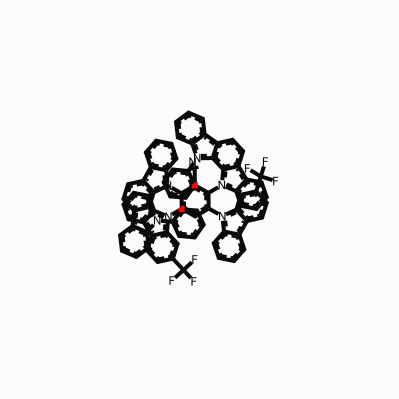 N#Cc1c(-n2c3ccccc3c3ccc4c5ccccc5n(-c5ccccc5)c4c32)c(-n2c3ccccc3c3ccc(C(F)(F)F)cc32)cc(-n2c3ccccc3c3ccc(C(F)(F)F)cc32)c1-n1c2ccccc2c2ccc3c4ccccc4n(-c4ccccc4)c3c21